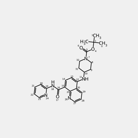 CC(C)(C)OC(=O)N1CCC(Nc2ccc(C(=O)Nc3ccccn3)c3ncccc23)CC1